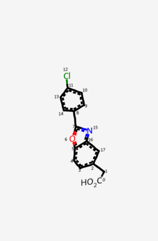 O=C(O)Cc1ccc2oc(-c3ccc(Cl)cc3)nc2c1